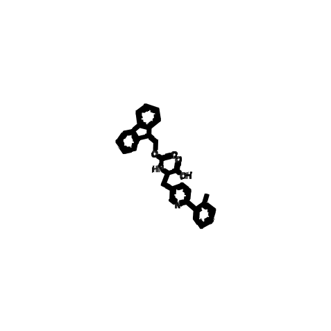 Cc1ccccc1-c1ccc(CC(NC(=O)OCC2c3ccccc3-c3ccccc32)C(=O)O)cn1